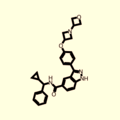 O=C(NC(c1ccccc1)C1CC1)c1ccc2[nH]nc(-c3ccc(OC4CN(C5COC5)C4)cc3)c2c1